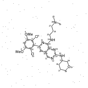 COc1cc(OC)c(Cl)c(-c2cc3cnc(NC4CCCOC4)nc3c(NCCCN(C)C)n2)c1Cl